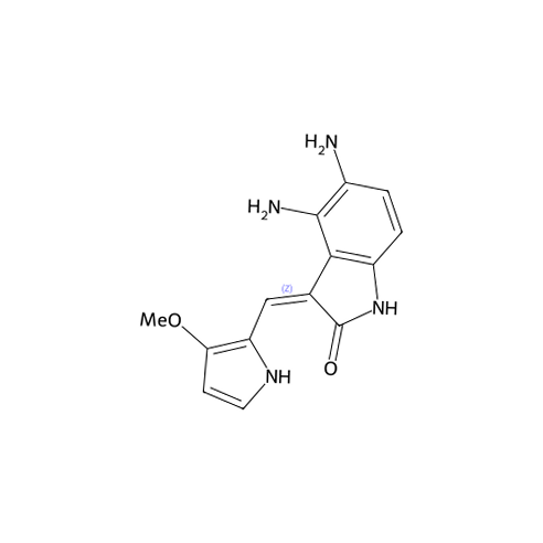 COc1cc[nH]c1/C=C1\C(=O)Nc2ccc(N)c(N)c21